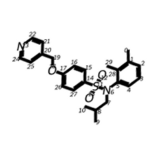 Cc1cccc(N(CC(C)C)S(=O)(=O)c2ccc(OCc3ccncc3)cc2)c1C